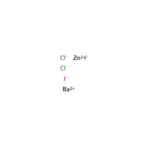 [Ba+2].[Cl-].[Cl-].[I-].[I-].[Zn+2]